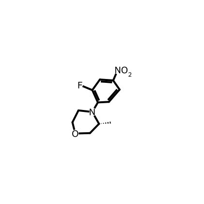 C[C@@H]1COCCN1c1ccc([N+](=O)[O-])cc1F